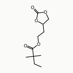 CCC(C)(C)C(=O)OCCC1COC(=O)O1